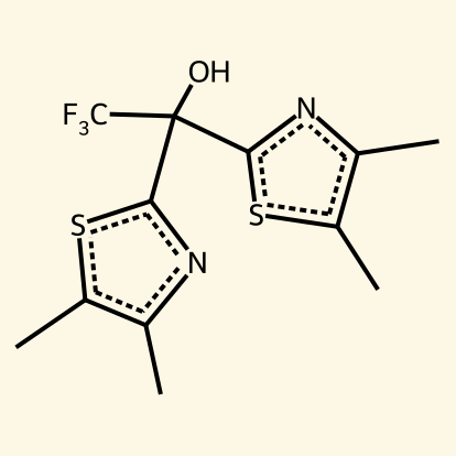 Cc1nc(C(O)(c2nc(C)c(C)s2)C(F)(F)F)sc1C